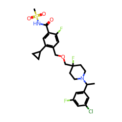 CC(c1cc(F)cc(Cl)c1)N1CCC(F)(COCc2cc(F)c(C(=O)NS(C)(=O)=O)cc2C2CC2)CC1